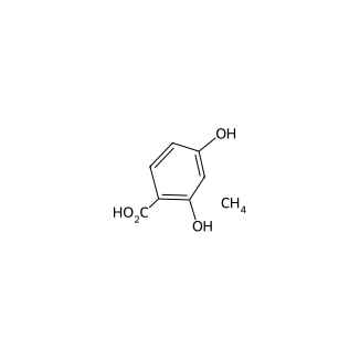 C.O=C(O)c1ccc(O)cc1O